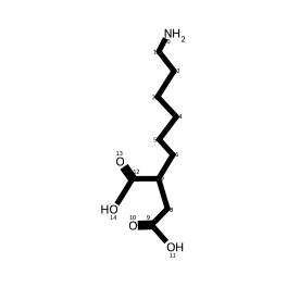 NCCCCCCC(CC(=O)O)C(=O)O